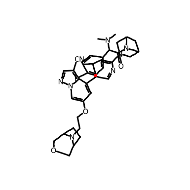 CC1C=C(N2CC3CC(C2)N3C(=O)C(c2ccc(F)cc2)N(C)C)N=CC1c1cc(OCCN2C3CCC2COC3)cn2ncc(C#N)c12